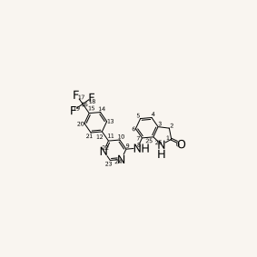 O=C1Cc2cccc(Nc3cc(-c4ccc(C(F)(F)F)cc4)ncn3)c2N1